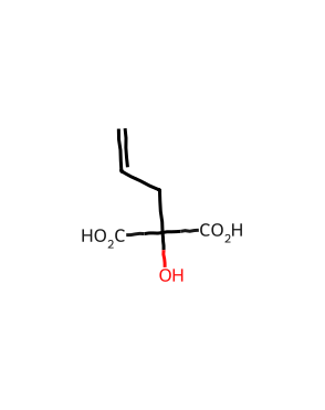 C=CCC(O)(C(=O)O)C(=O)O